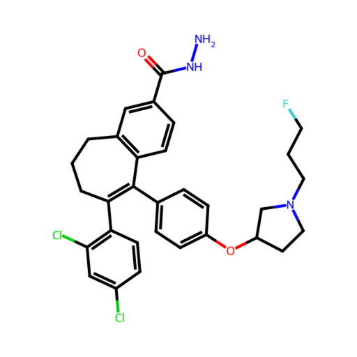 NNC(=O)c1ccc2c(c1)CCCC(c1ccc(Cl)cc1Cl)=C2c1ccc(OC2CCN(CCCF)C2)cc1